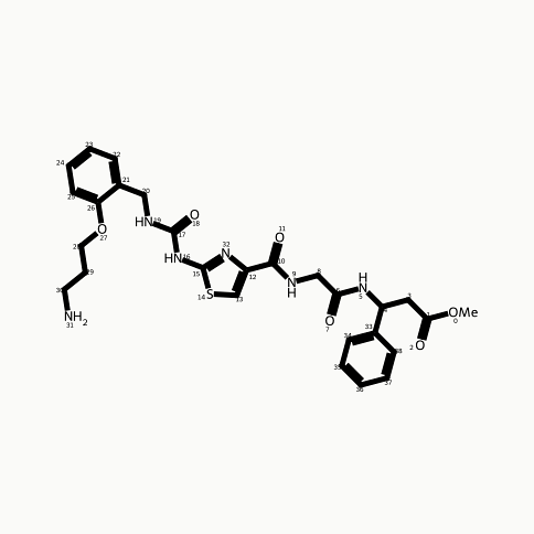 COC(=O)CC(NC(=O)CNC(=O)c1csc(NC(=O)NCc2ccccc2OCCCN)n1)c1ccccc1